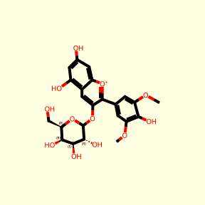 COc1cc(-c2[o+]c3cc(O)cc(O)c3cc2OC2O[C@H](CO)[C@H](O)[C@H](O)[C@H]2O)cc(OC)c1O